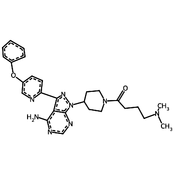 CN(C)CCCC(=O)N1CCC(n2nc(-c3ccc(Oc4ccccc4)cn3)c3c(N)ncnc32)CC1